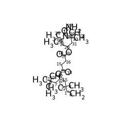 C=CC(C)(C)CC(CC(C)(C)C)OC(=O)CCC(=O)OC1CC(C)(C)N(ON)C(C)(C)C1